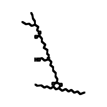 CCCCCCCCC(CCCCCCCC)OC(=O)CCCCCCCN(CCO)CCCCCCCC(=O)OCCC(CCCC)CCCC